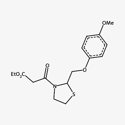 CCOC(=O)CC(=O)N1CCSC1COc1ccc(OC)cc1